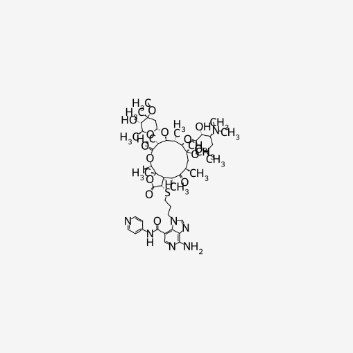 CO[C@]1(C)C[C@@H](C)C(=O)[C@H](C)[C@H]2[C@H](SCCCn3cnc4c(N)ncc(C(=O)Nc5ccncc5)c43)C(=O)O[C@]2(C)[C@@H](I)OC(=O)[C@H](C)[C@@H](O[C@H]2C[C@@](C)(OC)[C@@H](O)[C@H](C)O2)[C@H](C)[C@H]1O[C@@H]1O[C@H](C)C[C@H](N(C)C)[C@H]1O